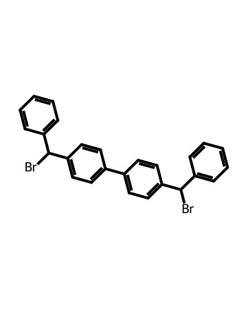 BrC(c1ccccc1)c1ccc(-c2ccc(C(Br)c3ccccc3)cc2)cc1